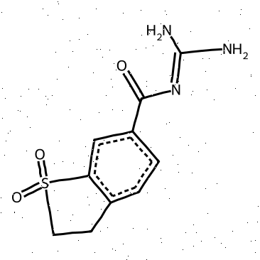 NC(N)=NC(=O)c1ccc2c(c1)S(=O)(=O)CC2